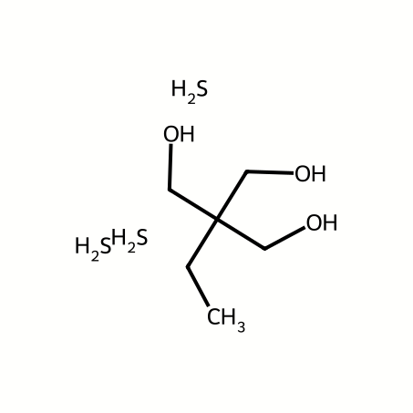 CCC(CO)(CO)CO.S.S.S